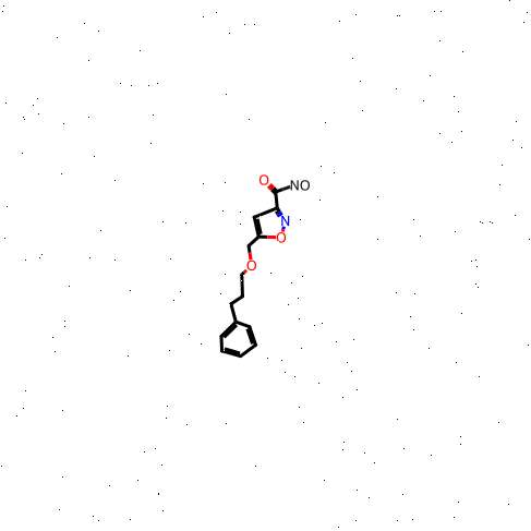 O=NC(=O)c1cc(COCCCc2ccccc2)on1